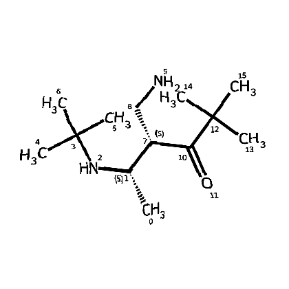 C[C@H](NC(C)(C)C)[C@H](CN)C(=O)C(C)(C)C